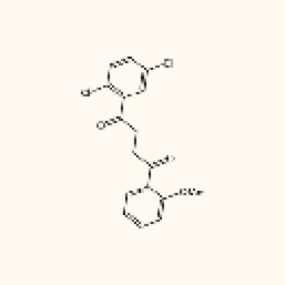 COc1ccccc1C(=O)CCC(=O)c1cc(Cl)ccc1Cl